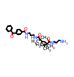 CC(CC(C)(C(=O)NCCCN)C(C)C)C(C)(C)C(=O)NCCCNC(=O)c1ccc(C(=O)c2ccccc2)cc1